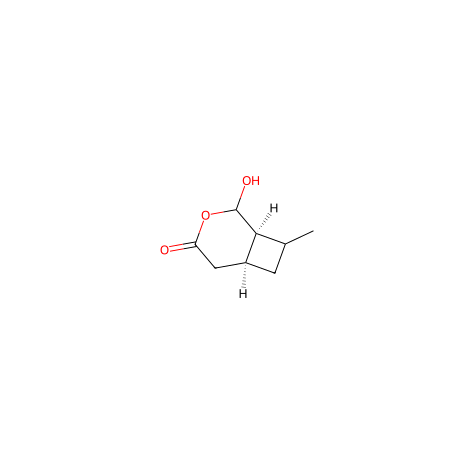 CC1C[C@H]2CC(=O)OC(O)[C@@H]12